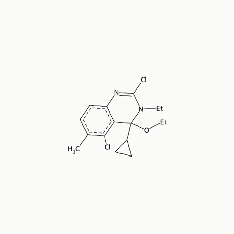 CCOC1(C2CC2)c2c(ccc(C)c2Cl)N=C(Cl)N1CC